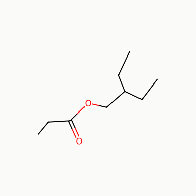 CCC(=O)OCC(CC)CC